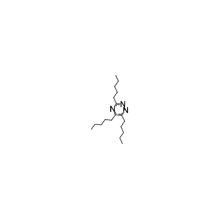 CCCCCc1nnc(CCCCC)c(CCCCC)n1